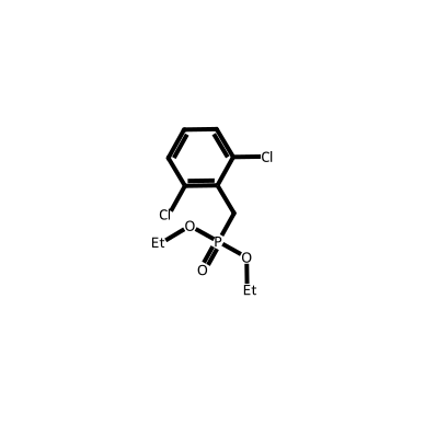 CCOP(=O)(Cc1c(Cl)cccc1Cl)OCC